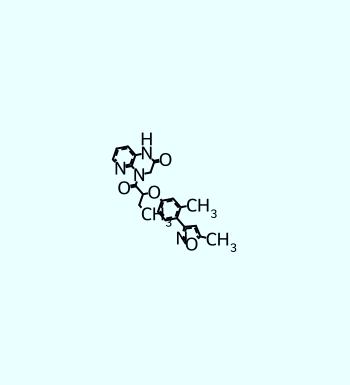 CCC(Oc1ccc(-c2cc(C)on2)c(C)c1)C(=O)N1CC(=O)Nc2cccnc21